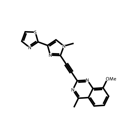 COc1cccc2c(C)nc(C#Cc3nc(-c4nccs4)cn3C)nc12